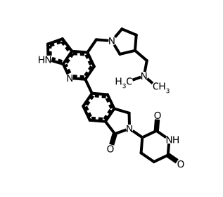 CN(C)CC1CCN(Cc2cc(-c3ccc4c(c3)CN(C3CCC(=O)NC3=O)C4=O)nc3[nH]ccc23)C1